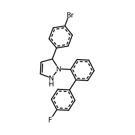 Fc1ccc(-c2ccccc2N2NC=CC2c2ccc(Br)cc2)cc1